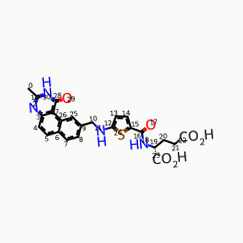 Cc1nc2ccc3ccc(CNc4ccc(C(=O)N[C@H](CCC(=O)O)C(=O)O)s4)cc3c2c(=O)[nH]1